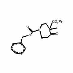 CCOC(=O)C1(F)CCN(C(=O)OCc2ccccc2)CCC1=O